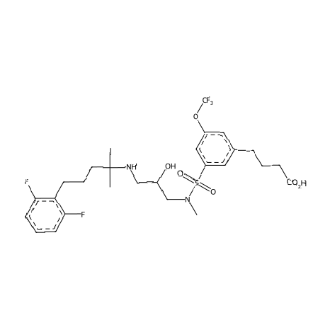 CN(CC(O)CNC(C)(C)CCCc1c(F)cccc1F)S(=O)(=O)c1cc(CCCC(=O)O)cc(OC(F)(F)F)c1